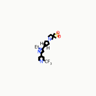 CCn1nc(-c2ccnc(C(F)(F)F)c2)cc1C1[C@H]2CC(N3CCC4(C3)CS(=O)(=O)C4)C[C@@H]12